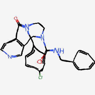 O=C(NCc1ccccc1)N1CCN2C(=O)c3ccncc3C12c1ccc(Cl)cc1